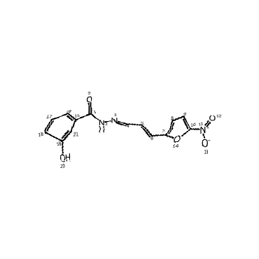 O=C(NN=CC=Cc1ccc([N+](=O)[O-])o1)c1cccc(O)c1